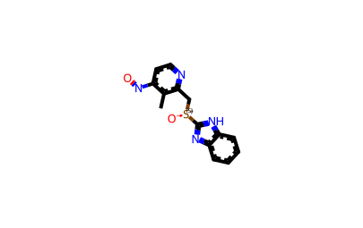 Cc1c(N=O)ccnc1C[S@@+]([O-])c1nc2ccccc2[nH]1